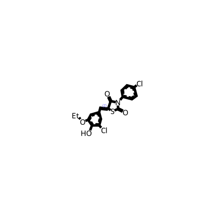 CCOc1cc(/C=C2\SC(=O)N(c3ccc(Cl)cc3)C2=O)cc(Cl)c1O